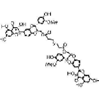 COc1cc([C@H]2Oc3cc([C@H]4Oc5cc(O)cc(O)c5C(=O)[C@@H]4O)ccc3O[C@@H]2COC(=O)CCSCCC(=O)OC[C@H]2Oc3ccc([C@H]4Oc5cc(O)cc(O)c5C(=O)[C@@H]4O)cc3O[C@@H]2c2ccc(O)c(OC)c2)ccc1O